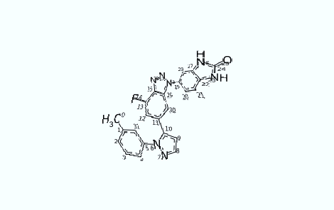 Cc1cccc(-n2nccc2-c2cc(F)c3nnn(-c4ccc5[nH]c(=O)[nH]c5c4)c3c2)c1